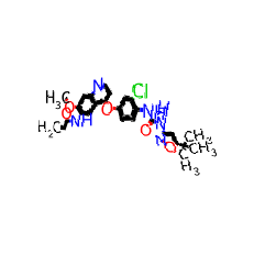 C=CC(=O)Nc1cc2c(Oc3ccc(NC(=O)Nc4cc(C(C)(C)C)on4)c(Cl)c3)ccnc2cc1OC